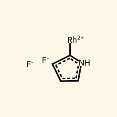 [F-].[F-].[Rh+2][c]1ccc[nH]1